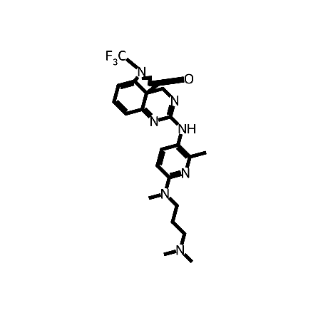 Cc1nc(N(C)CCCN(C)C)ccc1NC1=NCC23CC(=O)CCN(C(F)(F)F)C2=CC=CC3=N1